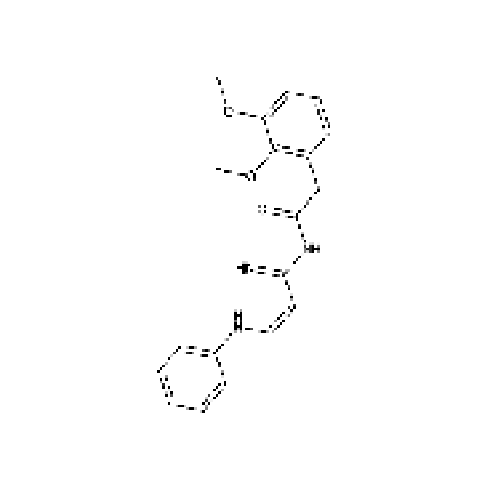 COc1cccc(CC(=O)NC(=N)/C=C\Nc2ccccc2)c1OC